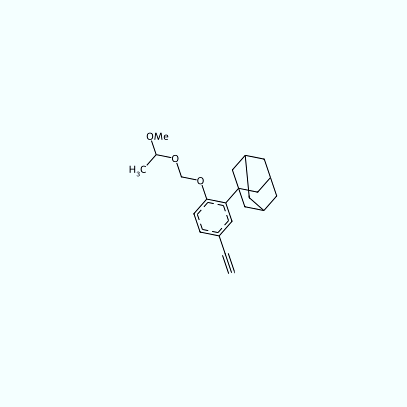 [C]#Cc1ccc(OCOC(C)OC)c(C23CC4CC(CC(C4)C2)C3)c1